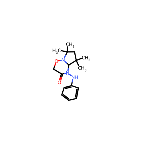 CC1(C)CC(C)(C)N2OCC(=O)N(Nc3ccccc3)C21